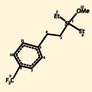 CC[Si](CC)(CCc1ccc(C(F)(F)F)cc1)OC